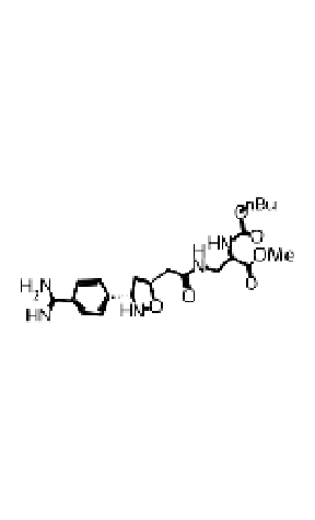 CCCCOC(=O)NC(CNC(=O)C[C@@H]1C[C@@H](c2ccc(C(=N)N)cc2)NO1)C(=O)OC